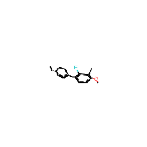 C=Cc1ccc(-c2ccc(OC)c(C)c2F)cc1